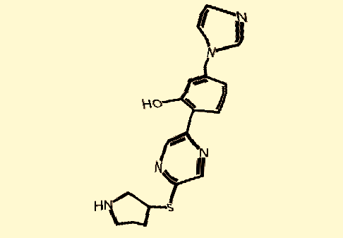 Oc1cc(-n2ccnc2)ccc1-c1cnc(SC2CCNC2)cn1